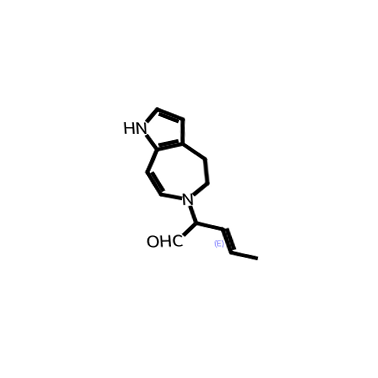 C/C=C/C(C=O)N1C=Cc2[nH]ccc2CC1